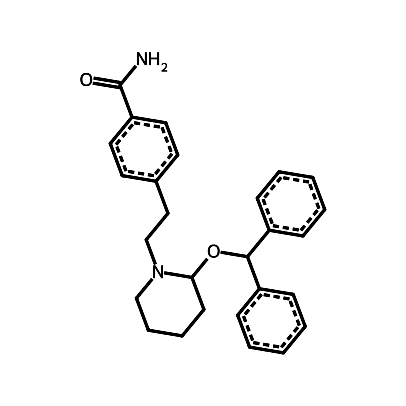 NC(=O)c1ccc(CCN2CCCCC2OC(c2ccccc2)c2ccccc2)cc1